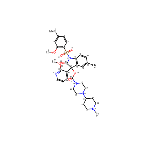 CCOc1cc(OC)ccc1S(=O)(=O)N1C(=O)C(OC(=O)N2CCN(C3CCN(CC)CC3)CC2)(c2cccnc2OCC)c2cc(C#N)ccc21